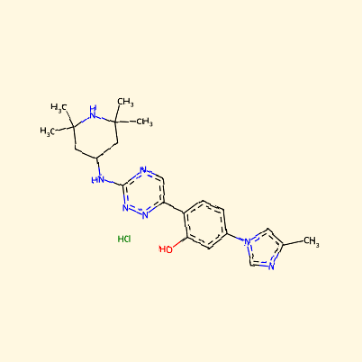 Cc1cn(-c2ccc(-c3cnc(NC4CC(C)(C)NC(C)(C)C4)nn3)c(O)c2)cn1.Cl